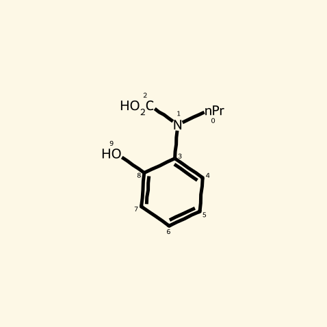 CCCN(C(=O)O)c1ccccc1O